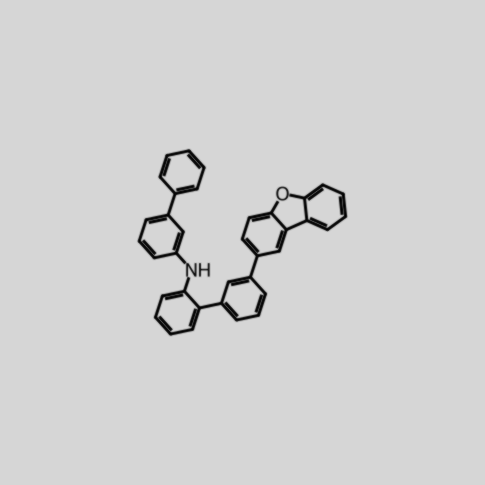 c1ccc(-c2cccc(Nc3ccccc3-c3cccc(-c4ccc5oc6ccccc6c5c4)c3)c2)cc1